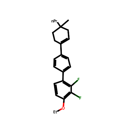 CCCC1(C)CC=C(c2ccc(-c3ccc(OCC)c(F)c3F)cc2)CC1